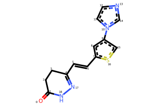 O=C1CCC(/C=C/c2cc(-n3ccnc3)cs2)=NN1